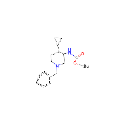 CC(C)(C)OC(=O)NC1CN(Cc2ccccc2)CCC1C1CC1